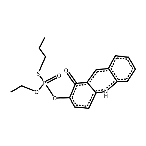 CCCSP(=O)(OCC)Oc1ccc2[nH]c3ccccc3cc-2c1=O